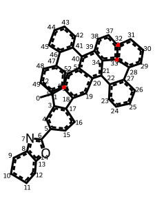 CC1(C)c2cc(-c3nc4ccccc4o3)ccc2-c2cc3c(-c4ccccc4-c4ccccc4)c4ccccc4c(-c4ccccc4-c4ccccc4)c3cc21